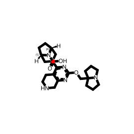 O=C(O)N1[C@@H]2CC[C@H]1CN(c1nc(OCC34CCCN3CCC4)nc3c1CCNC3)C2